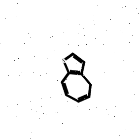 C1=CCc2ccsc2C=C1